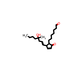 CCCCC(C)(O)C/C=C/C1C=CC(=O)C1CCCCCCC=O